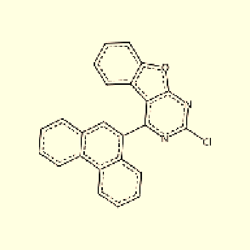 Clc1nc(-c2cc3ccccc3c3ccccc23)c2c(n1)oc1ccccc12